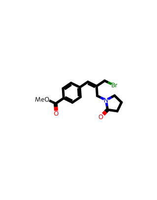 COC(=O)c1ccc(C=C(CBr)CN2CCCC2=O)cc1